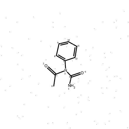 CC(=O)N(C(N)=O)c1ccccc1